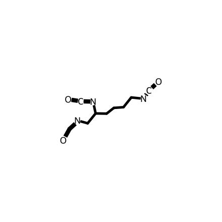 O=C=NCCCCC(CN=C=O)N=C=O